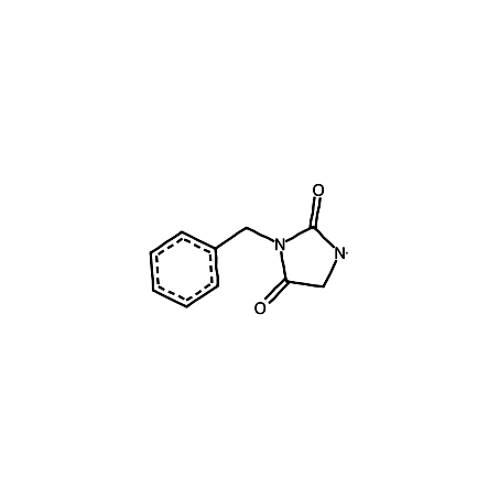 O=C1C[N]C(=O)N1Cc1ccccc1